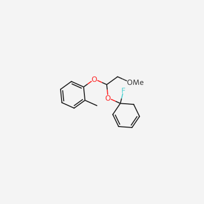 COCC(Oc1ccccc1C)OC1(F)C=CC=CC1